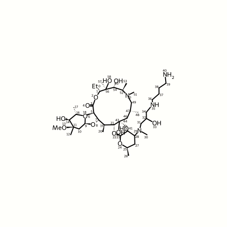 CC[C@H]1OC(=O)[C@H](C)[C@@H](O[C@H]2C[C@@](C)(OC)[C@@H](O)[C@H](C)O2)[C@H](C)[C@@H](O[C@@H]2O[C@H](C)CC(N(C)CC(O)CNCCCCN)[C@H]2O)[C@](C)(O)C[C@@H](C)CN(C)[C@H](C)[C@@H](O)[C@]1(C)O